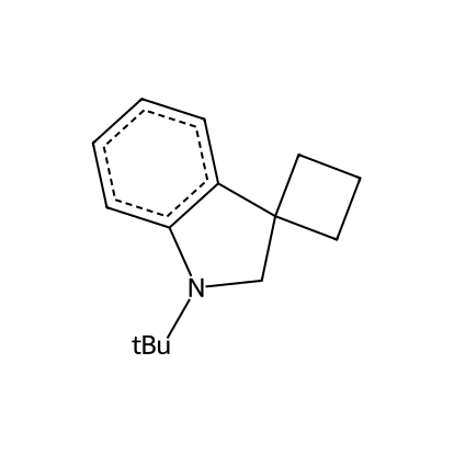 CC(C)(C)N1CC2(CCC2)c2ccccc21